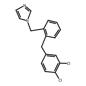 Clc1ccc(Cc2ccc[c]c2Cn2ccnc2)cc1Cl